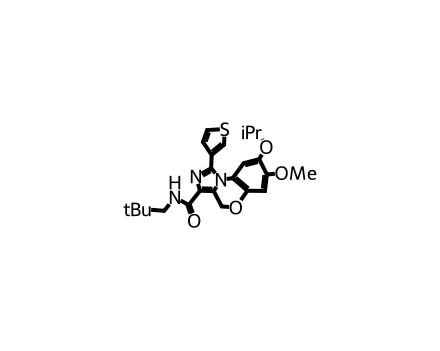 COc1cc2c(cc1OC(C)C)-n1c(-c3ccsc3)nc(C(=O)NCC(C)(C)C)c1CO2